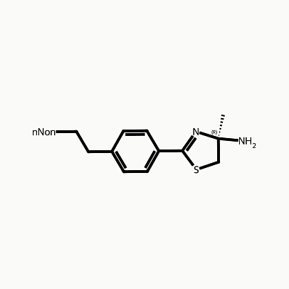 CCCCCCCCCCCc1ccc(C2=N[C@@](C)(N)CS2)cc1